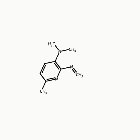 C=Nc1nc(C)ccc1N(C)C